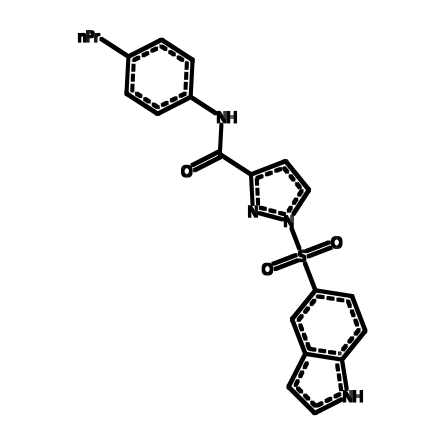 CCCc1ccc(NC(=O)c2ccn(S(=O)(=O)c3ccc4[nH]ccc4c3)n2)cc1